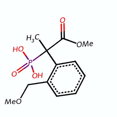 COCc1ccccc1C(C)(C(=O)OC)P(=O)(O)O